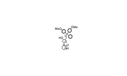 COc1ccc(C(OC[C@H]2O[C@@H](N3CCCNC3=O)C[C@@H]2O)(c2ccccc2)c2ccc(OC)cc2)cc1